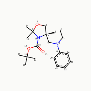 CCN(C[C@@]1(C)COC(C)(C)N1C(=O)OC(C)(C)C)c1ccccc1